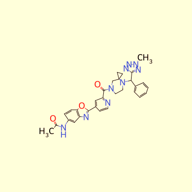 CC(=O)Nc1ccc2oc(-c3ccnc(C(=O)N4CCN(C(c5ccccc5)c5nnn(C)n5)C5(CC5)C4)c3)nc2c1